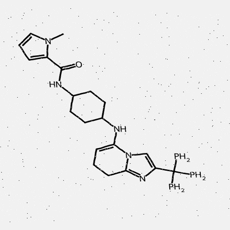 Cn1cccc1C(=O)NC1CCC(NC2=CCCc3nc(C(P)(P)P)cn32)CC1